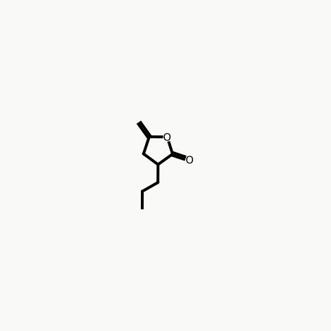 C=C1CC(CCC)C(=O)O1